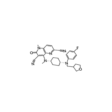 Cn1c(=O)c(C#N)c(N(C)[C@H]2CC[C@@H](N(CC3CCOC3)c3ccc(F)cc3)CC2)c2nc(C#N)ccc21